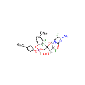 COc1ccc(OP(=S)(OC[C@@]2(C(F)F)O[C@@H](n3cc(F)c(N)nc3=O)[C@H](F)[C@@H]2O)Oc2ccc(OC)cc2)cc1